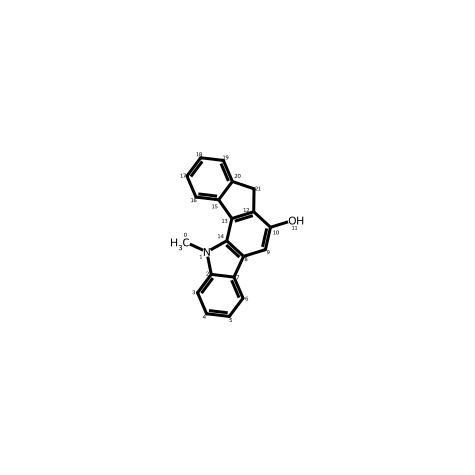 Cn1c2ccccc2c2cc(O)c3c(c21)-c1ccccc1C3